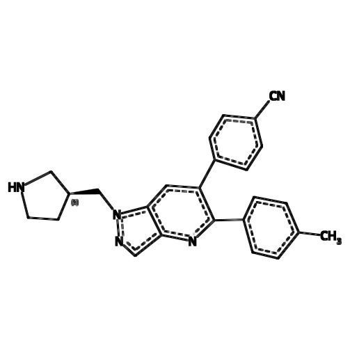 Cc1ccc(-c2nc3cnn(C[C@H]4CCNC4)c3cc2-c2ccc(C#N)cc2)cc1